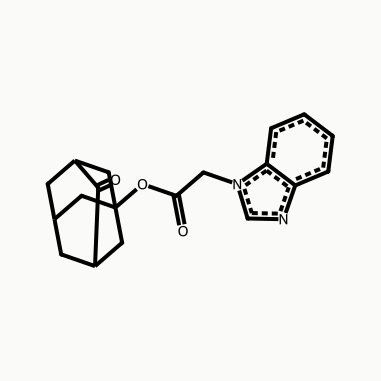 O=C(Cn1cnc2ccccc21)OC12CC3CC(C1)C(=O)C(C3)C2